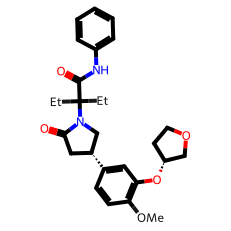 CCC(CC)(C(=O)Nc1ccccc1)N1C[C@H](c2ccc(OC)c(O[C@@H]3CCOC3)c2)CC1=O